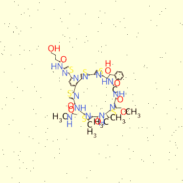 CNC(=O)C[C@@H]1NC(=O)c2csc(n2)-c2ccc(-c3nc(NC(=O)CCCO)cs3)nc2-c2csc(n2)-c2csc(n2)[C@H]([C@@H](O)c2ccccc2)NC(=O)CNC(=O)c2nc(sc2COC)[C@@H](C(C)C)NC(=O)c2nc1sc2C